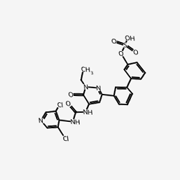 CCn1nc(-c2cccc(-c3cccc(OS(=O)(=O)O)c3)c2)cc(NC(=O)Nc2c(Cl)cncc2Cl)c1=O